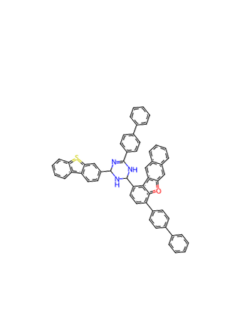 c1ccc(-c2ccc(C3=NC(c4ccc5c(c4)sc4ccccc45)NC(c4ccc(-c5ccc(-c6ccccc6)cc5)c5oc6cc7ccccc7cc6c45)N3)cc2)cc1